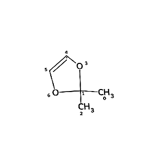 CC1(C)O[C]=CO1